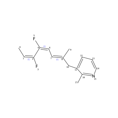 C\C=C(F)/C(F)=C\C=C(/C)Cc1cccnc1C